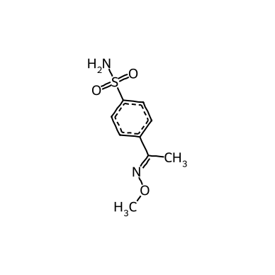 CO/N=C(\C)c1ccc(S(N)(=O)=O)cc1